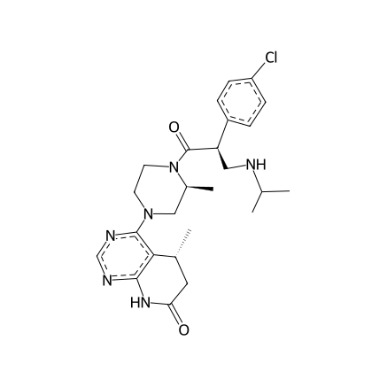 CC(C)NC[C@@H](C(=O)N1CCN(c2ncnc3c2[C@H](C)CC(=O)N3)C[C@@H]1C)c1ccc(Cl)cc1